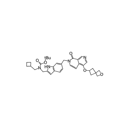 CC(C)(C)OC(=O)N(Cc1cc2ccc(Cn3ccc4c(OC5CC6(COC6)C5)cncc4c3=O)cc2[nH]1)CC1CCC1